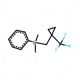 C[Si](C)(CC1(C(F)(F)F)CC1)c1ccccc1